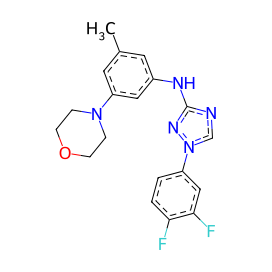 Cc1cc(Nc2ncn(-c3ccc(F)c(F)c3)n2)cc(N2CCOCC2)c1